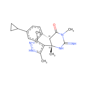 Cc1n[nH]c(C)c1[C@@]1(C)NC(=N)N(C)C(=O)[C@H]1c1ccc(C2CC2)cc1